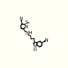 CSc1nc(CNCCCCc2c[nH]c3ccc(C#N)cc23)ccc1C#N